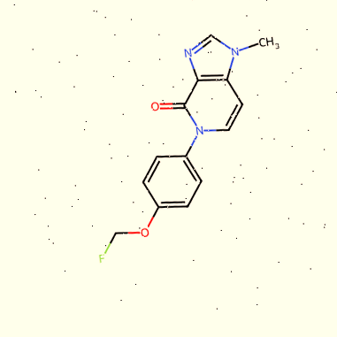 Cn1cnc2c(=O)n(-c3ccc(OCF)cc3)ccc21